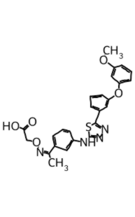 COc1cccc(Oc2cccc(-c3nnc(Nc4cccc(/C(C)=N\OCC(=O)O)c4)s3)c2)c1